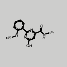 CCCNC(=O)c1cc(O)nc(-c2ccccc2OCCC)n1